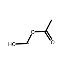 CC(=O)O[CH]O